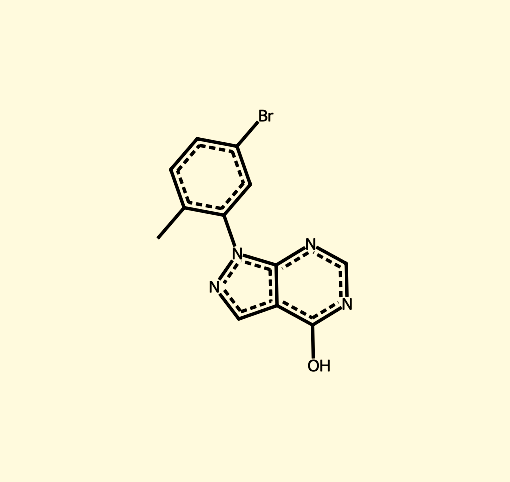 Cc1ccc(Br)cc1-n1ncc2c(O)ncnc21